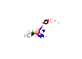 COc1ccc(OCCN(C(=O)C2=CCC3CNCC2N3C(=O)OC(C)(C)C(Cl)(Cl)Cl)C2CC2)cc1